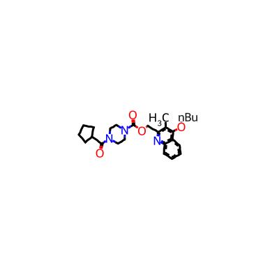 CCCCOc1c(C)c(COC(=O)N2CCN(C(=O)C3CCCC3)CC2)nc2ccccc12